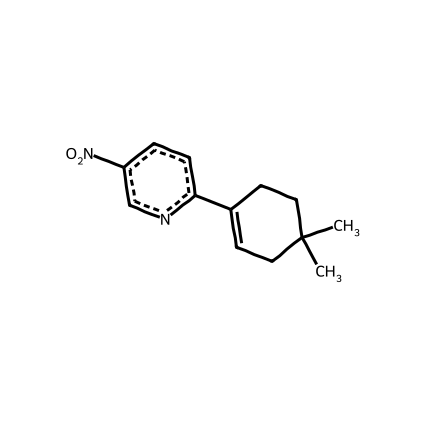 CC1(C)CC=C(c2ccc([N+](=O)[O-])cn2)CC1